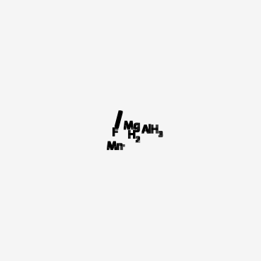 CF.[AlH3].[MgH2].[Mn]